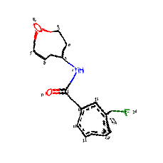 O=C(NC1CCOCC1)c1cccc(F)c1